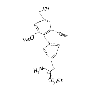 CCOC(=O)[C@@H](N)Cc1ccc(-c2c(OC)cc(CO)cc2OC)cc1